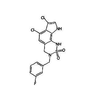 O=S1(=O)Nc2c(cc(Cl)c3c(Cl)c[nH]c23)CN1Cc1cccc(F)c1